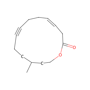 CC1CCC#CCCC=CCC(=O)OCC1